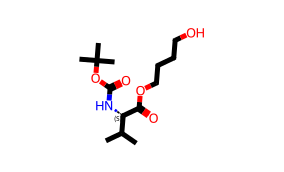 CC(C)[C@H](NC(=O)OC(C)(C)C)C(=O)OCCCCO